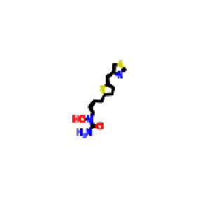 NC(=O)N(O)C/C=C\Cc1ccc(Cc2cscn2)s1